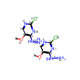 COc1cnc(Cl)nc1NN.COc1cnc(Cl)nc1NN